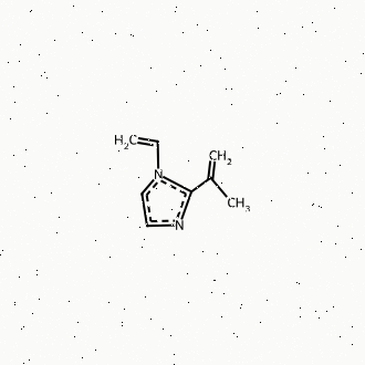 C=Cn1ccnc1C(=C)C